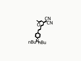 CCCCN(CCCC)c1ccc(C=CC2=CC(=C(C#N)C#N)C=C(C)O2)cc1